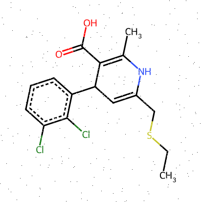 CCSCC1=CC(c2cccc(Cl)c2Cl)C(C(=O)O)=C(C)N1